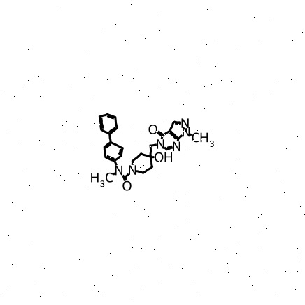 CN(C(=O)N1CCC(O)(Cn2cnc3c(cnn3C)c2=O)CC1)c1ccc(-c2ccccc2)cc1